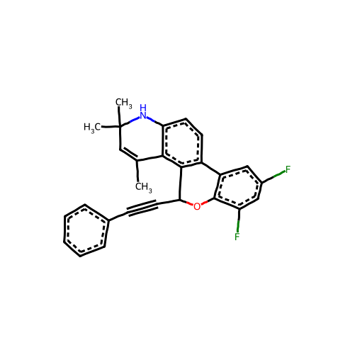 CC1=CC(C)(C)Nc2ccc3c(c21)C(C#Cc1ccccc1)Oc1c(F)cc(F)cc1-3